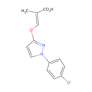 CC(=COc1ccn(-c2ccc(Cl)cc2)n1)C(=O)O